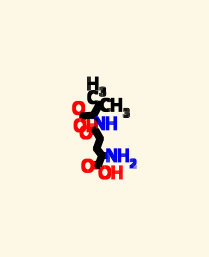 CC(C)C(NC(=O)CCC(N)C(=O)O)C(=O)O